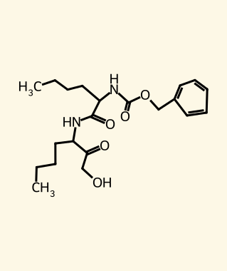 CCCCC(NC(=O)C(CCCC)NC(=O)OCc1ccccc1)C(=O)CO